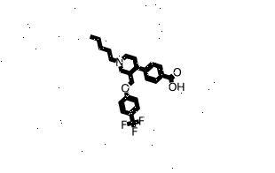 CCCCCN1CCC(c2ccc(C(=O)O)cc2)C(COc2ccc(C(F)(F)F)cc2)C1